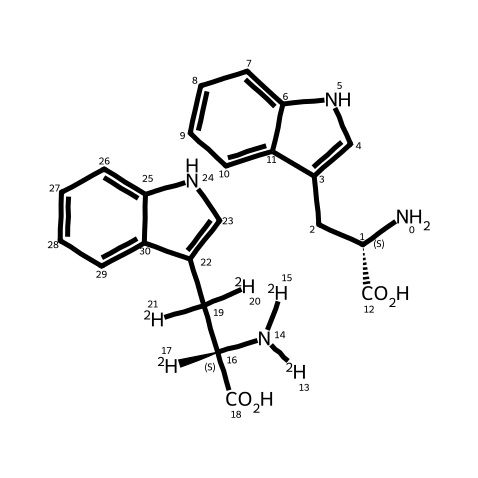 N[C@@H](Cc1c[nH]c2ccccc12)C(=O)O.[2H]N([2H])[C@]([2H])(C(=O)O)C([2H])([2H])c1c[nH]c2ccccc12